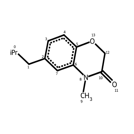 CC(C)Cc1ccc2c(c1)N(C)C(=O)CO2